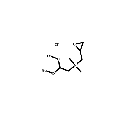 CCOC(C[N+](C)(C)CC1CO1)OCC.[Cl-]